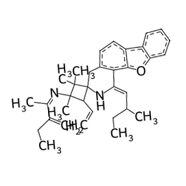 C=CC1C(C)(/N=C(/C)C(=C)CC)C(C)(C)C12Cc1ccc3c(oc4ccccc43)c1/C(=C/C(C)CC)N2